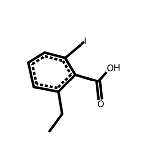 CCc1cccc(I)c1C(=O)O